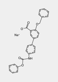 O=C(Nc1ccc(-c2ccc(OCc3ccccc3)c(C(=O)[O-])c2)cc1)Oc1ccccc1.[Na+]